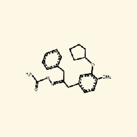 COc1ccc(C/C(Cc2ccccc2)=N/OC(N)=O)cc1OC1CCCC1